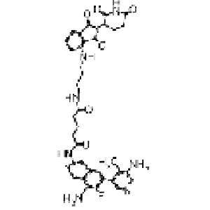 Cc1c(N)cncc1-c1cc2cc(NC(=O)CCCC(=O)NCCCCNc3cccc4c3C(=O)N(C3CCC(=O)NC3=O)C4=O)ncc2c(N)c1F